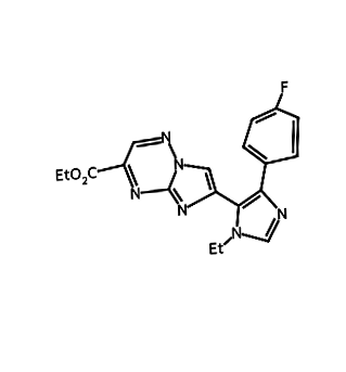 CCOC(=O)c1cnn2cc(-c3c(-c4ccc(F)cc4)ncn3CC)nc2n1